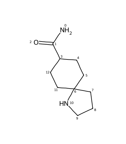 NC(=O)C1CCC2(CCCN2)CC1